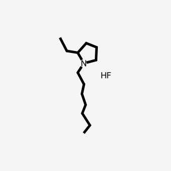 CCCCCCCN1CCCC1CC.F